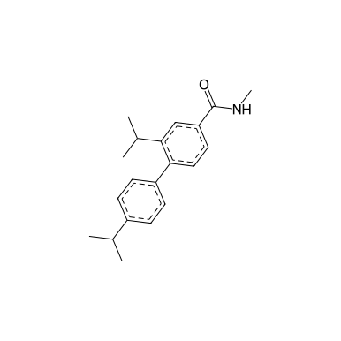 CNC(=O)c1ccc(-c2ccc(C(C)C)cc2)c(C(C)C)c1